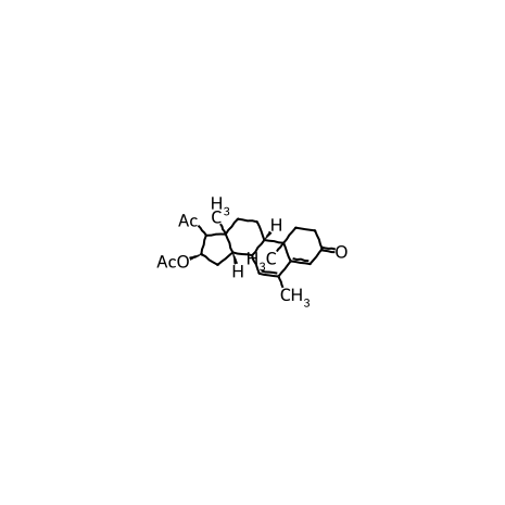 CC(=O)O[C@@H]1C[C@H]2C3C=C(C)C4=CC(=O)CCC4(C)[C@H]3CCC2(C)C1C(C)=O